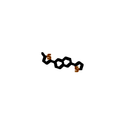 Cc1ccc(-c2ccc3cc(-c4cccs4)ccc3c2)s1